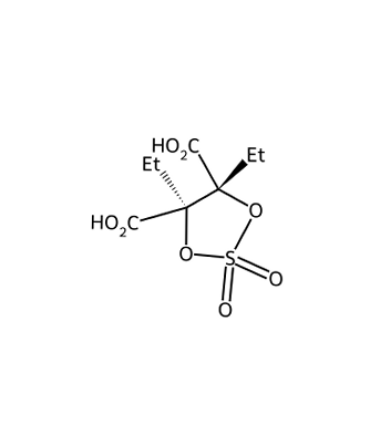 CC[C@@]1(C(=O)O)OS(=O)(=O)O[C@@]1(CC)C(=O)O